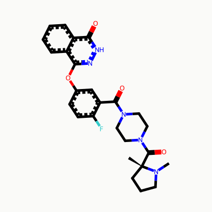 CN1CCC[C@]1(C)C(=O)N1CCN(C(=O)c2cc(Oc3n[nH]c(=O)c4ccccc34)ccc2F)CC1